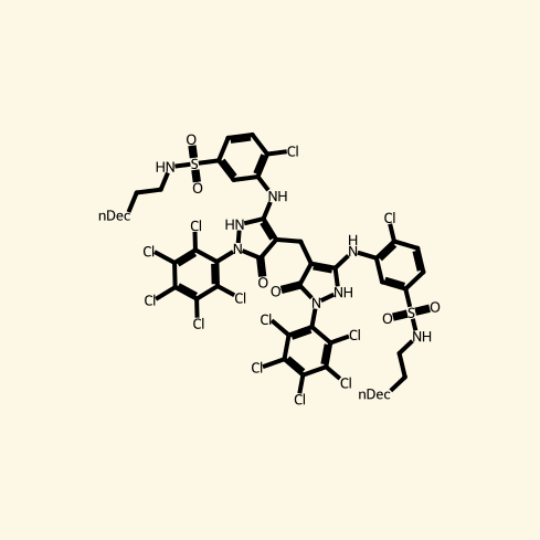 CCCCCCCCCCCCNS(=O)(=O)c1ccc(Cl)c(Nc2[nH]n(-c3c(Cl)c(Cl)c(Cl)c(Cl)c3Cl)c(=O)c2Cc2c(Nc3cc(S(=O)(=O)NCCCCCCCCCCCC)ccc3Cl)[nH]n(-c3c(Cl)c(Cl)c(Cl)c(Cl)c3Cl)c2=O)c1